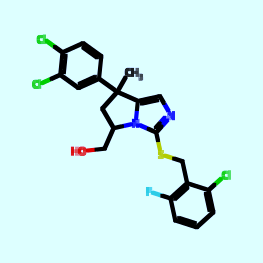 CC1(c2ccc(Cl)c(Cl)c2)CC(CO)n2c1cnc2SCc1c(F)cccc1Cl